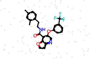 Cc1ccc(CCNC(=O)c2c(Oc3cccc(C(F)(F)F)c3)cnc3ccoc23)c(C)c1